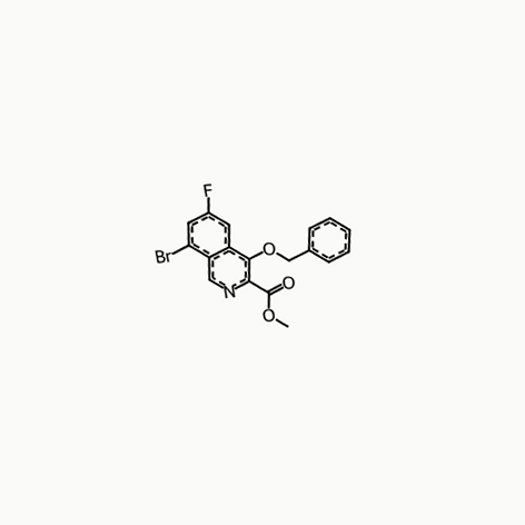 COC(=O)c1ncc2c(Br)cc(F)cc2c1OCc1ccccc1